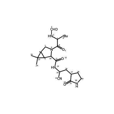 CC(C)(C)C(NC=O)C(=O)N1CC2C(C1C(=O)NC(C#N)CC1CCNC1=O)C2(C)C